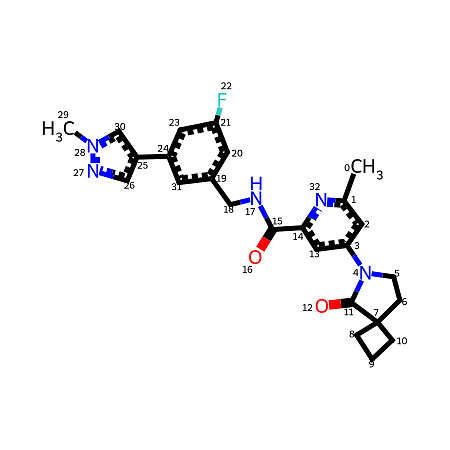 Cc1cc(N2CCC3(CCC3)C2=O)cc(C(=O)NCc2cc(F)cc(-c3cnn(C)c3)c2)n1